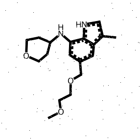 COCCOCc1cc(NC2CCOCC2)c2[nH]cc(C)c2c1